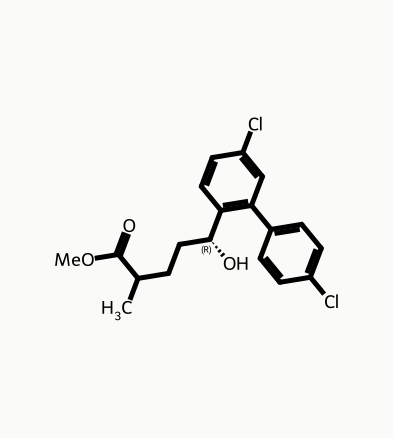 COC(=O)C(C)CC[C@@H](O)c1ccc(Cl)cc1-c1ccc(Cl)cc1